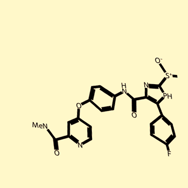 CNC(=O)c1cc(Oc2ccc(NC(=O)c3nc([S+](C)[O-])[pH]c3-c3ccc(F)cc3)cc2)ccn1